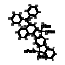 CCCCCCC1(CCCCC)c2ccccc2-c2cc3c(cc21)-c1c(cc(N(c2ccccc2)c2ccccc2)c2ccccc12)C3(CCCCCC)CCCCCC